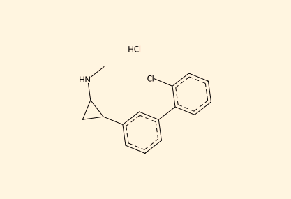 CNC1CC1c1cccc(-c2ccccc2Cl)c1.Cl